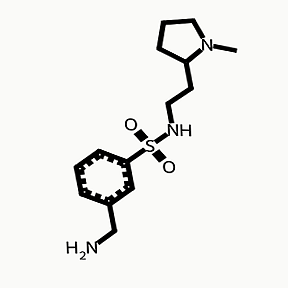 CN1CCCC1CCNS(=O)(=O)c1cccc(CN)c1